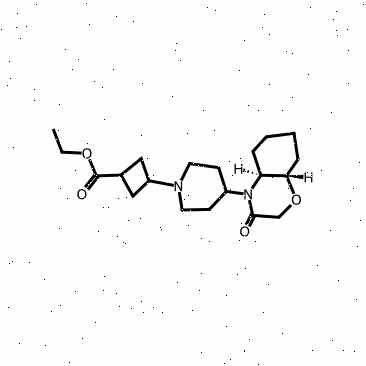 CCOC(=O)C1CC(N2CCC(N3C(=O)CO[C@H]4CCCC[C@@H]43)CC2)C1